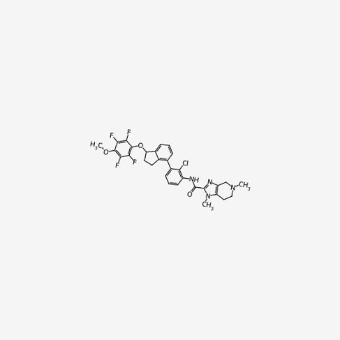 COc1c(F)c(F)c(OC2CCc3c(-c4cccc(NC(=O)c5nc6c(n5C)CCN(C)C6)c4Cl)cccc32)c(F)c1F